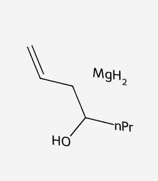 C=CCC(O)CCC.[MgH2]